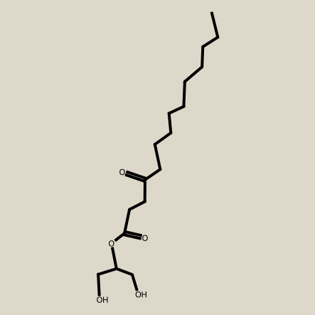 CCCCCCCCCCC(=O)CCC(=O)OC(CO)CO